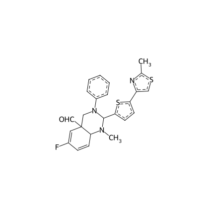 Cc1nc(-c2ccc(C3N(c4ccccc4)CC4(C=O)C=C(F)C=CC4N3C)s2)cs1